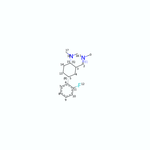 C/N=C/C1C[C@H](c2ccccc2F)CC[C@@H]1N(C)C